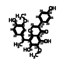 COc1cc(C(C)c2c(O)c(OC)c(O)c3c(=O)c(-c4ccc(O)cc4)coc23)ccc1O